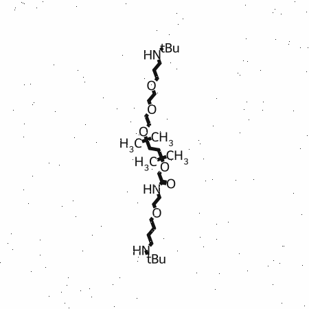 CC(C)(C)NCCCCOCCNC(=O)COC(C)(C)CCC(C)(C)OCCOCCOCCCNC(C)(C)C